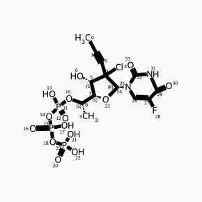 CC#CC1(Cl)[C@@H](O)[C@@H]([C@H](C)OP(=O)(O)OP(=O)(O)OP(=O)(O)O)O[C@H]1n1cc(F)c(=O)[nH]c1=O